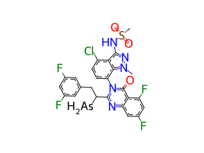 Cn1nc(NS(C)(=O)=O)c2c(Cl)ccc(-n3c(C([AsH2])Cc4cc(F)cc(F)c4)nc4cc(F)cc(F)c4c3=O)c21